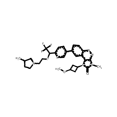 COC1CC(n2c(=O)n(C)c3nnc4ccc(-c5ccc(C(OCCN6CCC(C)C6)C(F)(F)F)nc5)cc4c32)C1